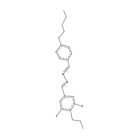 CCCCCc1ccc(/C=N/N=C/c2cc(F)c(CCC)c(F)c2)cc1